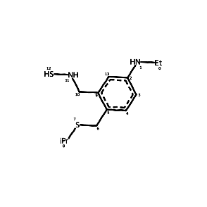 CCNc1ccc(CSC(C)C)c(CNS)c1